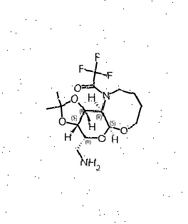 CC1(C)O[C@@H]2[C@H](O1)[C@@H]1[C@@H](OCCCCN1C(=O)C(F)(F)F)O[C@@H]2CN